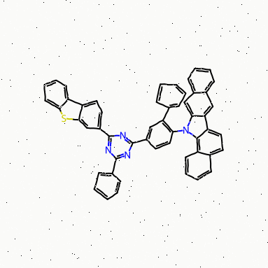 c1ccc(-c2nc(-c3ccc(-n4c5cc6ccccc6cc5c5ccc6ccccc6c54)c(-c4ccccc4)c3)nc(-c3ccc4c(c3)sc3ccccc34)n2)cc1